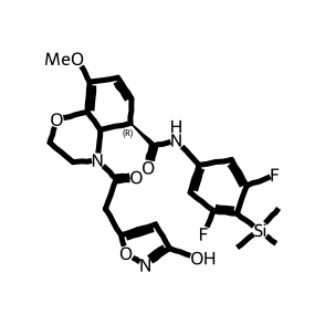 COC1=C2OCCN(C(=O)Cc3cc(O)no3)C2[C@H](C(=O)Nc2cc(F)c([Si](C)(C)C)c(F)c2)C=C1